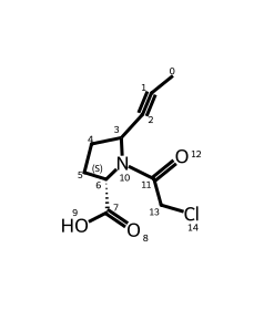 CC#CC1CC[C@@H](C(=O)O)N1C(=O)CCl